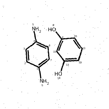 Nc1ccc(N)cc1.Oc1cccc(O)c1